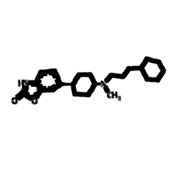 CN(CCCC1CCCCC1)[C@H]1CC[C@H](c2ccc3[nH]c(=O)oc3c2)CC1